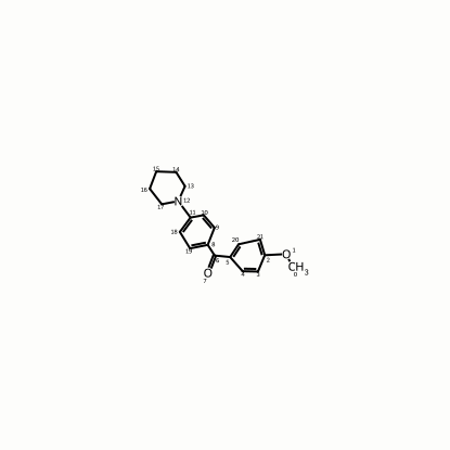 COc1ccc(C(=O)c2ccc(N3CCCCC3)cc2)cc1